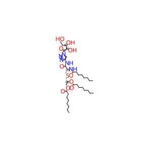 CCCCCCCC(=O)N[C@H](CSC[C@@H](COC(=O)CCCCCCC)OC(=O)CCCCCCC)C(=O)Nc1cn([C@H]2OC(CO)[C@@H](O)[C@@H]2O)nn1